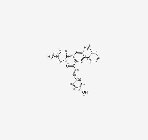 Cc1ccccc1-c1ccc(N2CCN(C)CC2)c(C(=O)C=Cc2ccc(O)cc2)c1